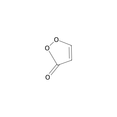 O=c1ccoo1